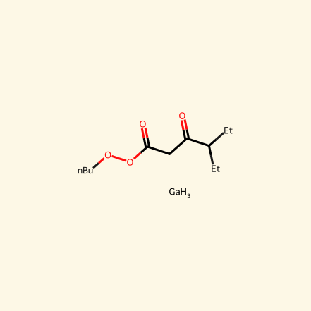 CCCCOOC(=O)CC(=O)C(CC)CC.[GaH3]